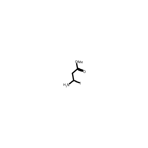 COC(=O)CC(N)I